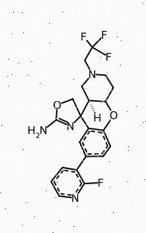 NC1=NC2(CO1)c1cc(-c3cccnc3F)ccc1OC1CCN(CC(F)(F)F)C[C@@H]12